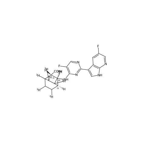 [2H]C1C([2H])[C@]2([2H])[C@H](Nc3nc(-c4c[nH]c5ncc(F)cc45)ncc3F)[C@@H](C(=O)O)C1([2H])C([2H])([2H])C2([2H])[2H]